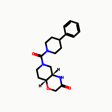 O=C1CO[C@H]2CCN(C(=O)N3CCC(c4ccccc4)CC3)C[C@H]2N1